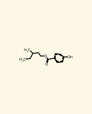 CCC(C)CCOC(=O)c1ccc(O)cc1